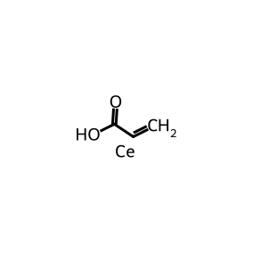 C=CC(=O)O.[Ce]